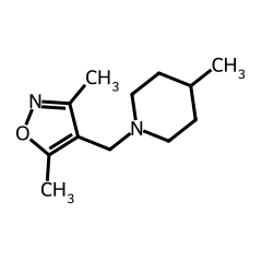 Cc1noc(C)c1CN1CCC(C)CC1